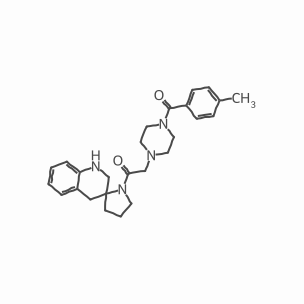 Cc1ccc(C(=O)N2CCN(CC(=O)N3CCCC34CNc3ccccc3C4)CC2)cc1